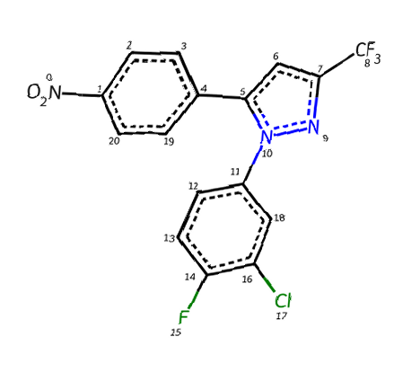 O=[N+]([O-])c1ccc(-c2cc(C(F)(F)F)nn2-c2ccc(F)c(Cl)c2)cc1